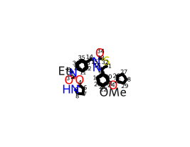 CCN(C(=O)OC1CCCN1)c1ccc(CN2N=C(c3ccc(OC)c(OC4CCCC4)c3)CSC2=O)cc1